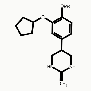 C=C1NCC(c2ccc(OC)c(OC3CCCC3)c2)CN1